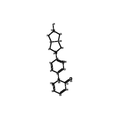 CN1CC2CN(c3ccc(-n4ncccc4=O)cn3)CC2C1